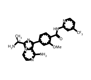 COc1cc(-c2nc([C@H](C)N)n3ccnc(N)c23)ccc1C(=O)Nc1cc(C(F)(F)F)ccn1